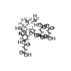 Cc1ccc(Cn2c(NC3CCCN(CCN)CC3)nc3ccccc32)o1.O=C(O)C=CC(=O)O.O=C(O)C=CC(=O)O.O=C(O)C=CC(=O)O